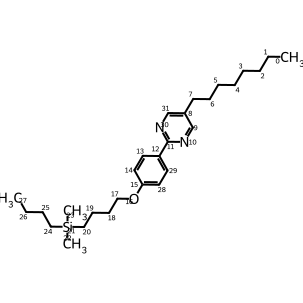 CCCCCCCCc1cnc(-c2ccc(OCCCC[Si](C)(C)CCCC)cc2)nc1